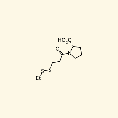 CCSSCCC(=O)N1CCC[C@H]1C(=O)O